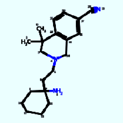 CC1(C)CN(CCC2(N)CCCCC2)Cc2cc(C#N)ccc21